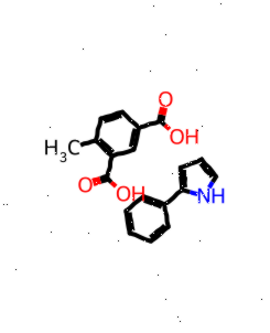 Cc1ccc(C(=O)O)cc1C(=O)O.c1ccc(-c2ccc[nH]2)cc1